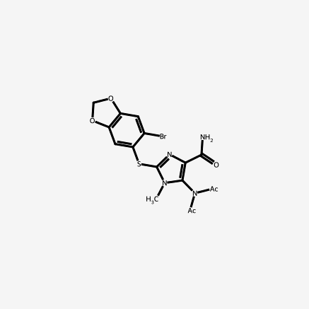 CC(=O)N(C(C)=O)c1c(C(N)=O)nc(Sc2cc3c(cc2Br)OCO3)n1C